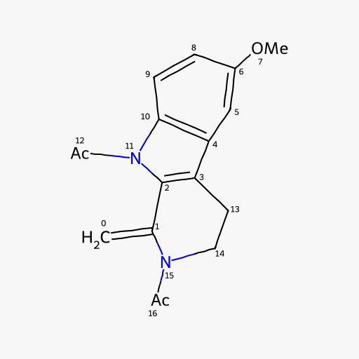 C=C1c2c(c3cc(OC)ccc3n2C(C)=O)CCN1C(C)=O